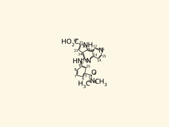 CN(C)C(=O)c1cccc(Nc2nc3ccncc3c3[nH]c(C(=O)O)cc23)c1